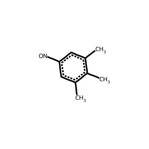 Cc1cc(N=O)cc(C)c1C